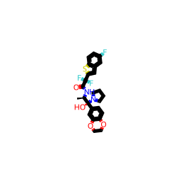 C[C@@H](NC(=O)C(F)(F)c1cc2cc(F)ccc2s1)[C@@](O)(c1ccc2c(c1)OCCO2)N1CCCC1